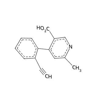 C#Cc1ccccc1-c1cc(C)ncc1C(=O)O